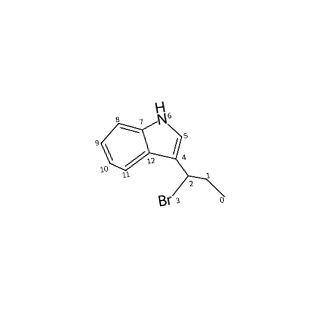 CCC(Br)c1c[nH]c2ccccc12